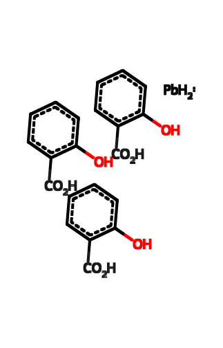 O=C(O)c1ccccc1O.O=C(O)c1ccccc1O.O=C(O)c1ccccc1O.[PbH2]